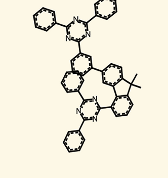 CC1(C)c2ccc(-c3cccc(-c4nc(-c5ccccc5)nc(-c5ccccc5)n4)c3)cc2-c2c(-c3nc(-c4ccccc4)nc(-c4ccccc4)n3)cccc21